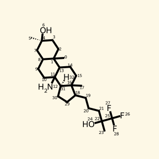 CC12CC[C@](C)(O)CC1CCC1(N)C2CCC2(C)C(CCCC(C)(O)C(F)(F)F)CC[C@H]21